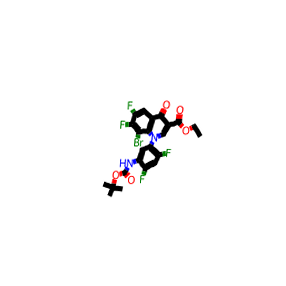 CCOC(=O)c1cn(-c2cc(NC(=O)OC(C)(C)C)c(F)cc2F)c2c(Br)c(F)c(F)cc2c1=O